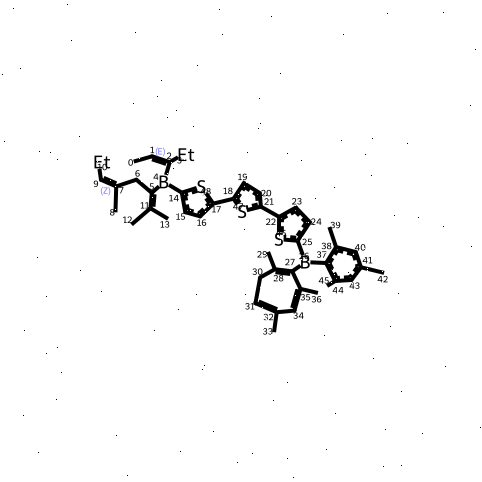 C/C=C(/CC)B(C(C/C(C)=C\CC)=C(C)C)c1ccc(-c2ccc(-c3ccc(B(C4=C(C)CC=C(C)C=C4C)c4c(C)cc(C)cc4C)s3)s2)s1